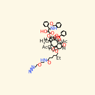 CCC(CCCC(=O)NCCOCCN=[N+]=[N-])CO[C@H]1C[C@H]2OC[C@@]2(OC(C)=O)C2[C@H](OC(=O)c3ccccc3)[C@]3(O)C[C@H](OC(=O)[C@H](O)[C@@H](NC(=O)c4ccccc4)c4ccccc4)C(C)=C([C@@H](OC(C)=O)C(=O)[C@@]21C)C3(C)C